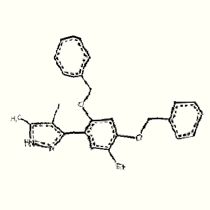 CCc1cc(-c2n[nH]c(C)c2I)c(OCc2ccccc2)cc1OCc1ccccc1